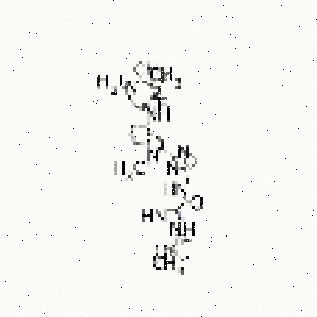 CCn1c(-c2noc(CNC(=O)/C(C=N)=C/N[C@@H]3CCC[C@@H]3OC)n2)cc2c(N[C@@H]3CCN(C)C(C)[C@]4(C)C[C@]34F)cccc21